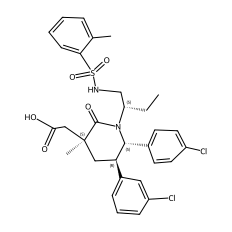 CC[C@@H](CNS(=O)(=O)c1ccccc1C)N1C(=O)[C@](C)(CC(=O)O)C[C@H](c2cccc(Cl)c2)[C@H]1c1ccc(Cl)cc1